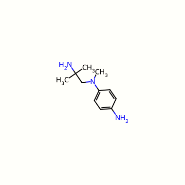 CN(CC(C)(C)N)c1ccc(N)cc1